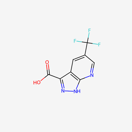 O=C(O)c1n[nH]c2ncc(C(F)(F)F)cc12